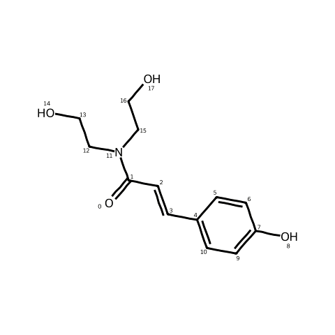 O=C(C=Cc1ccc(O)cc1)N(CCO)CCO